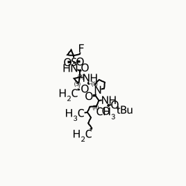 C=CCCC(C)C[C@@H](C)C(NC(=O)OC(C)(C)C)C(=O)N1CCC[C@H]1C(=O)N[C@]1(C(=O)NS(=O)(=O)C2(CF)CC2)C[C@H]1C=C